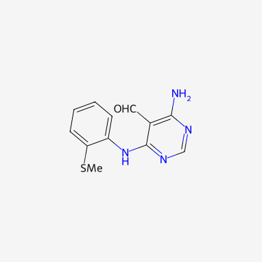 CSc1ccccc1Nc1ncnc(N)c1C=O